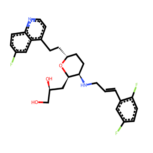 OC[C@@H](O)C[C@H]1O[C@H](CCc2ccnc3ccc(F)cc23)CC[C@H]1NCC=Cc1cc(F)ccc1F